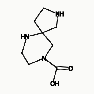 O=C(O)N1CCNC2(CCNC2)C1